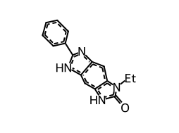 CCn1c(=O)[nH]c2cc3[nH]c(-c4ccccc4)nc3cc21